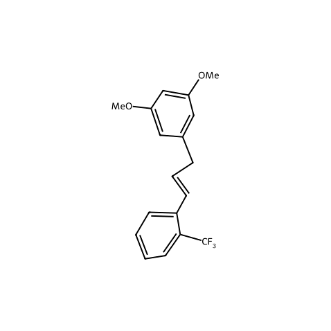 COc1cc(C/C=C/c2ccccc2C(F)(F)F)cc(OC)c1